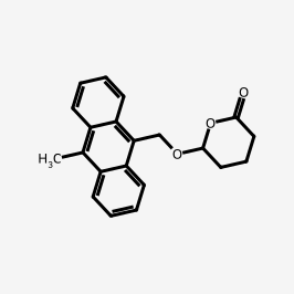 Cc1c2ccccc2c(COC2CCCC(=O)O2)c2ccccc12